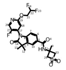 CC1(NC(=O)c2ccc3c(c2)C(C)(C)C(=O)N3c2cc(OCC(F)F)ncc2F)CS(=O)(=O)C1